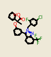 CC(Oc1cccc(-c2c3cccc(C(F)(F)F)c3nn2Cc2ccc(Cl)cc2F)c1)(C(=O)O)c1ccccc1